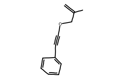 C=C(C)COC#Cc1ccccc1